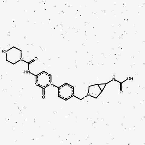 O=C(O)NC1C2CN(Cc3ccc(-n4ccc(NC(=O)N5CCNCC5)nc4=O)cc3)CC21